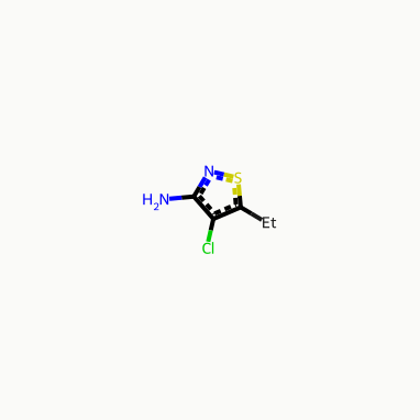 [CH2]Cc1snc(N)c1Cl